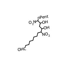 CCCCCC(C(O)CC(O)C(CCCCCCCC=O)[N+](=O)[O-])[N+](=O)[O-]